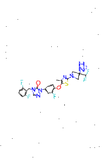 Cc1nc(N2CC(N)(C(F)F)C2)sc1Oc1ccc(-n2ncn(Cc3c(F)cccc3F)c2=O)cc1F